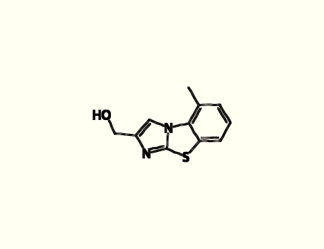 Cc1cccc2sc3nc(CO)cn3c12